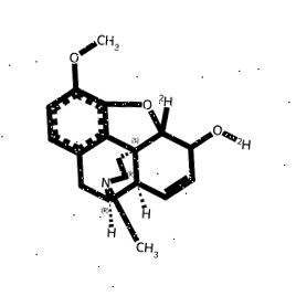 [2H]OC1C=C[C@H]2[C@H]3Cc4ccc(OC)c5c4[C@@]2(CCN3C)C1([2H])O5